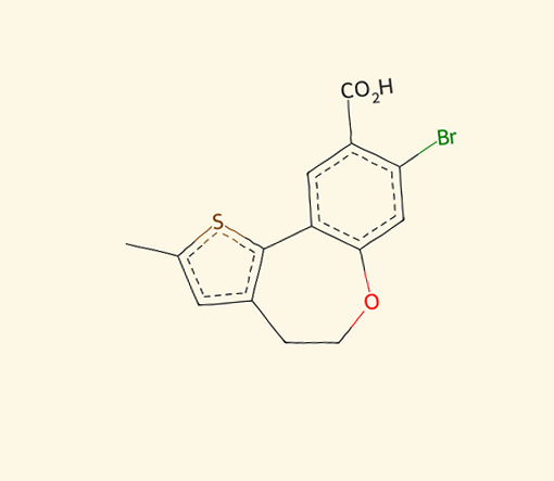 Cc1cc2c(s1)-c1cc(C(=O)O)c(Br)cc1OCC2